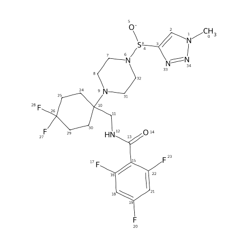 Cn1cc([S+]([O-])N2CCN(C3(CNC(=O)c4c(F)cc(F)cc4F)CCC(F)(F)CC3)CC2)nn1